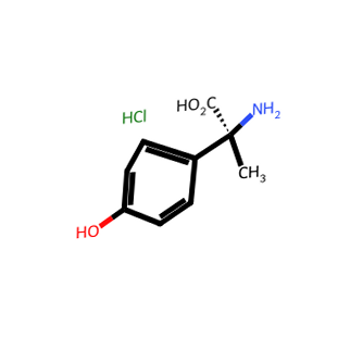 C[C@@](N)(C(=O)O)c1ccc(O)cc1.Cl